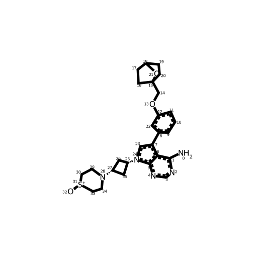 Nc1ncnc2c1c(-c1cccc(OCC34CCC(CC3)O4)c1)cn2[C@H]1C[C@@H](N2CC[S+]([O-])CC2)C1